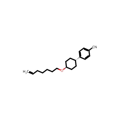 C=CCCCCCO[C@H]1CC[C@H](c2ccc(C#N)cc2)CC1